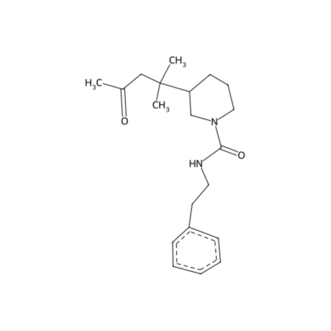 CC(=O)CC(C)(C)C1CCCN(C(=O)NCCc2ccccc2)C1